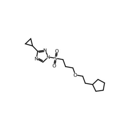 O=S(=O)(CCCOCCC1CCCC1)n1cnc(C2CC2)n1